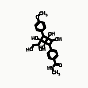 CNC(=O)c1ccc(C2C(O)[C@@]3(O)C(c4ccc(OC)cc4)[C@@](O)([C@H](O)CO)[C@@]23O)cc1